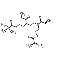 C=CC(=O)N(CCOC(=O)C(=C)C)CCN(CCOC(=O)C(C)(C)C)C(=O)C=C